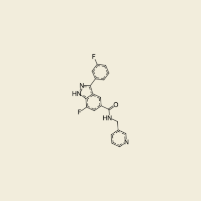 O=C(NCc1cccnc1)c1cc(F)c2[nH]nc(-c3cccc(F)c3)c2c1